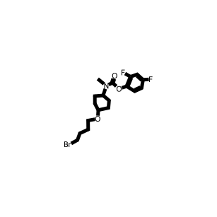 CN(C(=O)Oc1ccc(F)cc1F)C1CCC(OCCCCBr)CC1